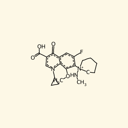 CN[N+]1(c2c(F)cc3c(=O)c(C(=O)O)cn(C4CC4)c3c2OC)CCCCC1